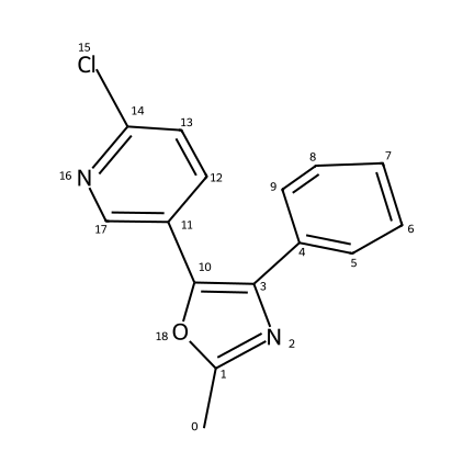 Cc1nc(-c2ccccc2)c(-c2ccc(Cl)nc2)o1